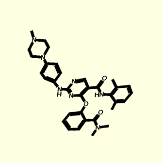 Cc1cccc(C)c1NC(=O)c1cnc(Nc2ccc(N3CCN(C)CC3)cc2)nc1Oc1ccccc1C(=O)N(C)C